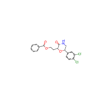 O=C(OCCC1OC(c2ccc(Cl)c(Cl)c2)CNC1=O)c1ccccc1